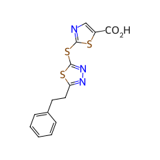 O=C(O)c1cnc(Sc2nnc(CCc3ccccc3)s2)s1